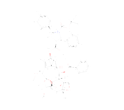 CO[C@H]1C(=O)[C@]2(C)[C@@H](OC)C[C@H]3OC[C@@]3(OC(C)=O)[C@H]2[C@H](OC(=O)c2ccccc2)[C@]2(O)C[C@H](OC(=O)[C@H]3O[C@@H](c4ccc(C)cc4)N(C(=O)OC(C)(C)C)[C@@H]3c3ccccc3)C(C)=C1C2(C)C